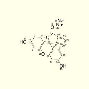 O=C1OC2(c3ccc(O)cc3Oc3cc(O)ccc32)c2ccccc21.[Na].[Na]